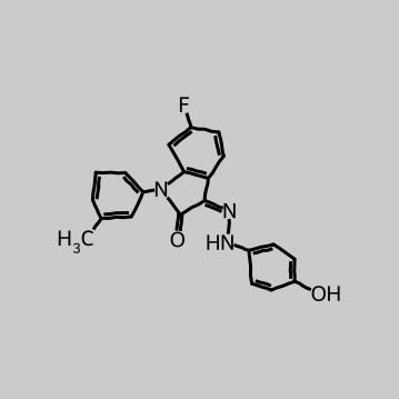 Cc1cccc(N2C(=O)C(=NNc3ccc(O)cc3)c3ccc(F)cc32)c1